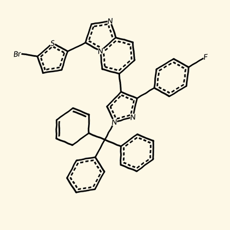 Fc1ccc(-c2nn(C(c3ccccc3)(c3ccccc3)C3C=CC=CC3)cc2-c2ccc3ncc(-c4ccc(Br)s4)n3c2)cc1